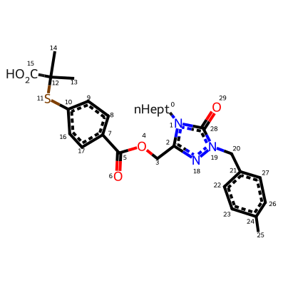 CCCCCCCn1c(COC(=O)c2ccc(SC(C)(C)C(=O)O)cc2)nn(Cc2ccc(C)cc2)c1=O